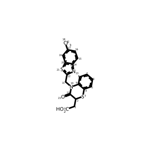 O=C(O)CC1Sc2ccccc2N(Cc2nc3ccc(C(F)(F)F)cc3s2)C1=O